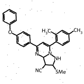 CSC1NN2C(c3ccc(C)cc3C)=CC(c3ccc(Oc4ccccc4)cc3)=NC2C1C#N